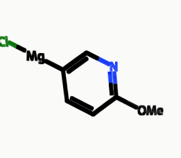 COc1cc[c]([Mg][Cl])cn1